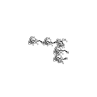 CO[Si](CC(C)C#N)(OC)OC.CO[Si](CCCCC#N)(OC)OC.CO[Si](CCCCCC#N)(OC)OC.CO[Si](CCOCC#N)(OC)OC.CO[Si](CCOCCC#N)(OC)OC.[SiH4]